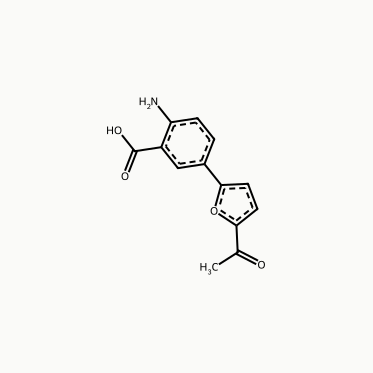 CC(=O)c1ccc(-c2ccc(N)c(C(=O)O)c2)o1